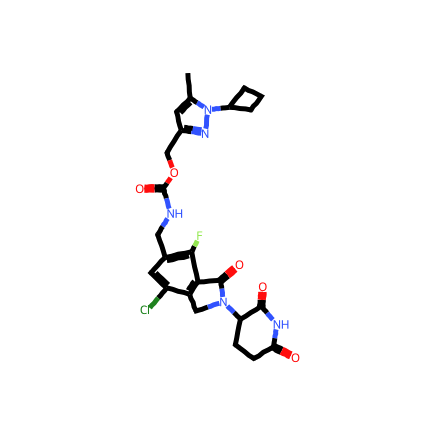 Cc1cc(COC(=O)NCc2cc(Cl)c3c(c2F)C(=O)N(C2CCC(=O)NC2=O)C3)nn1C1CCC1